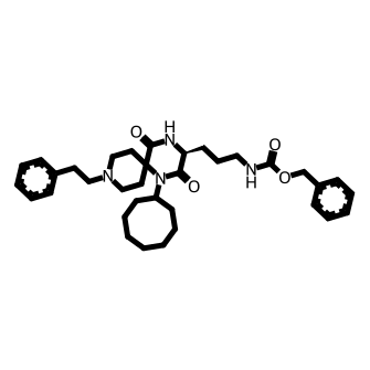 O=C(NCCC[C@@H]1NC(=O)C2(CCN(CCc3ccccc3)CC2)N(C2CCCCCCC2)C1=O)OCc1ccccc1